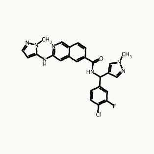 Cn1cc(C(NC(=O)c2ccc3cnc(Nc4ccnn4C)cc3c2)c2ccc(Cl)c(F)c2)cn1